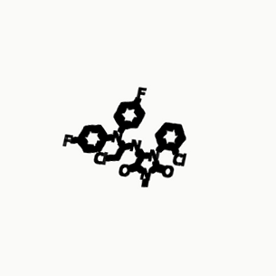 CN1C(=O)C(=NC(CCl)N(c2ccc(F)cc2)c2ccc(F)cc2)N(c2ccccc2Cl)C1=O